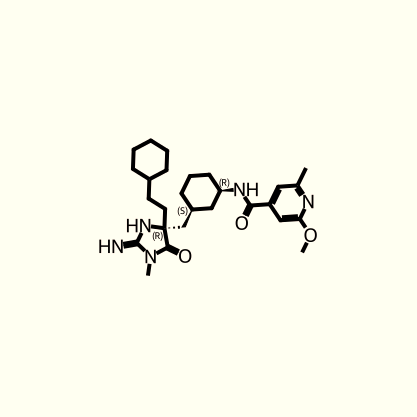 COc1cc(C(=O)N[C@@H]2CCC[C@H](C[C@@]3(CCC4CCCCC4)NC(=N)N(C)C3=O)C2)cc(C)n1